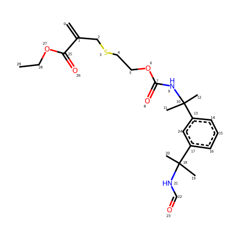 C=C(CSCCOC(=O)NC(C)(C)c1cccc(C(C)(C)NC=O)c1)C(=O)OCC